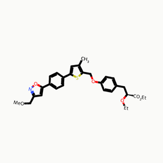 CCOC(=O)[C@H](Cc1ccc(OCc2sc(-c3ccc(-c4cc(COC)no4)cc3)cc2C)cc1)OCC